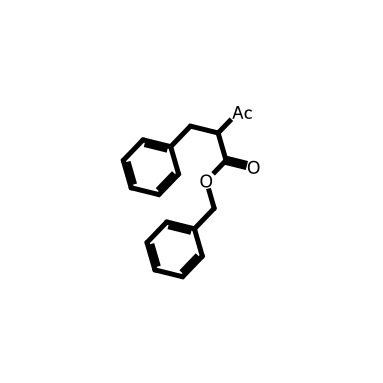 CC(=O)C(Cc1ccccc1)C(=O)OCc1ccccc1